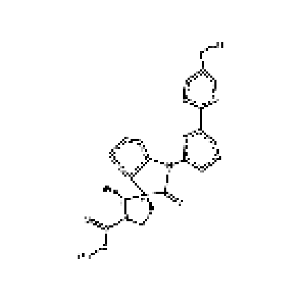 CC(C)[C@@H]1N(C(=O)OC(C)(C)C)CC[C@@]12C(=O)N(c1cccc(-c3ccc(CO)cc3)c1)c1ccccc12